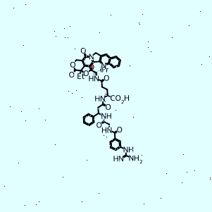 CC[C@@]1(OC(=O)[C@@H](NC(=O)CC[C@H](NC(=O)CC(NC(=O)CNC(=O)c2cccc(NC(=N)N)c2)c2ccccc2)C(=O)O)C(C)C)C(=O)OCc2c1cc1n(c2=O)Cc2cc3ccccc3nc2-1